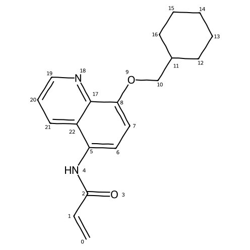 C=CC(=O)Nc1ccc(OCC2CCCCC2)c2ncccc12